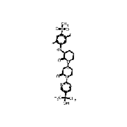 CC(C)(O)c1cnc(N2CC[C@H](N3CCCC(Nc4cc(F)c(S(C)(=O)=O)cc4F)C3=O)CC2=O)nc1